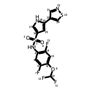 O=S(=O)(Nc1cc(F)c(OC(F)F)cc1F)c1c[nH]c(-c2cnsc2)c1